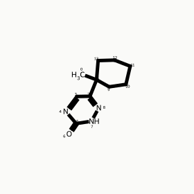 CC1(c2cnc(=O)[nH]n2)CCCCC1